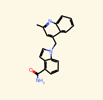 Cc1cc(Cn2ccc3c(C(N)=O)cccc32)c2ccccc2n1